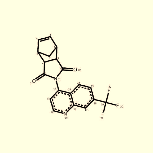 O=C1C2C3C=CC(C3)C2C(=O)N1c1ccnc2cc(C(F)(F)F)ccc12